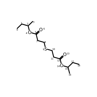 CCC(C)OC(=O)CCSCCC(=O)OC(C)CC